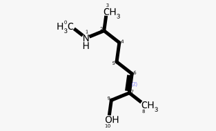 CNC(C)CC/C=C(/C)CO